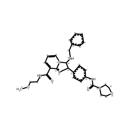 COCCNC(=O)C1=CC=CN2C1=NC(c1ccc(NC(=O)N3CCOCC3)cc1)C2NCc1ccccc1